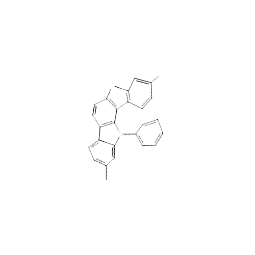 Cc1ccc2c(c1)sc1ccc3c4ccc(C)cc4n(-c4ccccc4)c3c12